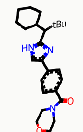 CC(C)(C)C(c1nc(-c2ccc(C(=O)N3CCOCC3)cc2)c[nH]1)C1CCCCC1